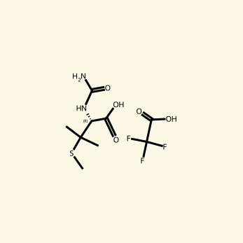 CSC(C)(C)[C@H](NC(N)=O)C(=O)O.O=C(O)C(F)(F)F